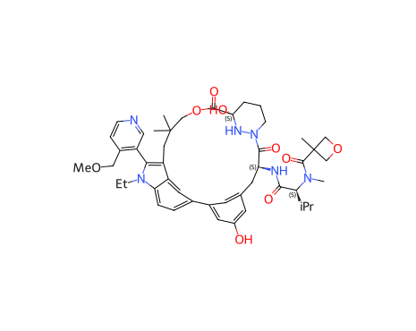 CCn1c(-c2cnccc2COC)c2c3cc(ccc31)-c1cc(O)cc(c1)C[C@H](NC(=O)[C@H](C(C)C)N(C)C(=O)C1(C)COC1)C(=O)N1CCC[C@@](O)(N1)C(=O)OCC(C)(C)C2